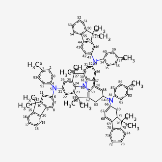 Cc1ccc(N(c2ccc3c(c2)C(C)(C)c2ccccc2-3)c2cc3c4c(c2)C(C)(C)c2cc(N(c5ccc(C)cc5)c5ccc6c(c5)C(C)(C)c5ccccc5-6)cc5c6c(n-4c25)=C(CC(N(C2=CC=C4c5ccccc5C(C)(C)C4C2)c2ccc(C)cc2)C=6)C3(C)C)cc1